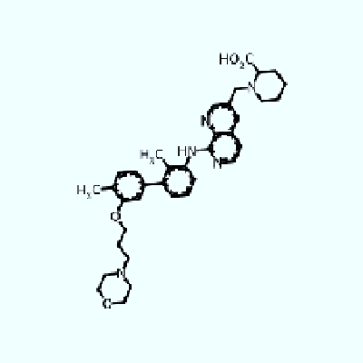 Cc1ccc(-c2cccc(Nc3nccc4cc(CN5CCCCC5C(=O)O)cnc34)c2C)cc1OCCCN1CCOCC1